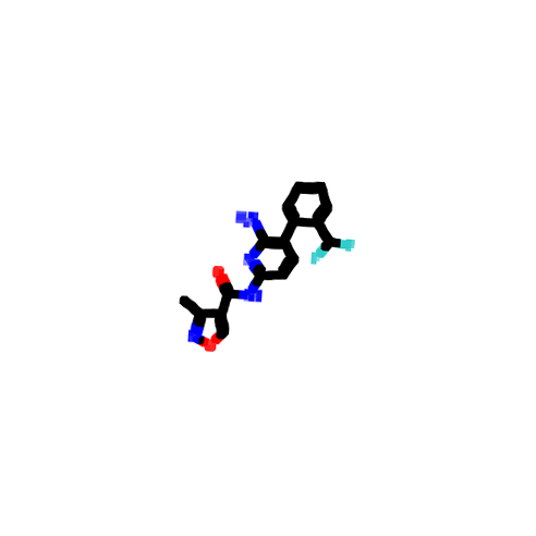 Cc1nocc1C(=O)Nc1ccc(-c2ccccc2C(F)F)c(N)n1